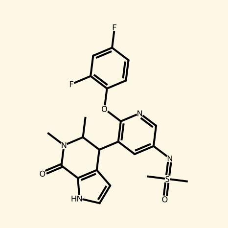 CC1C(c2cc(N=S(C)(C)=O)cnc2Oc2ccc(F)cc2F)c2cc[nH]c2C(=O)N1C